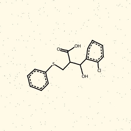 O=C(O)C(CSc1ccccc1)C(O)c1ccccc1Cl